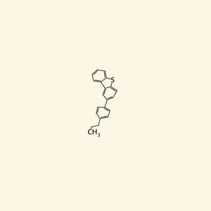 CCCc1ccc(-c2ccc3sc4ccccc4c3c2)cc1